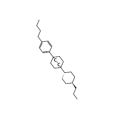 CCCCc1ccc(C23CCC([C@H]4CC[C@H](CCC)CC4)(CC2)CC3)cc1